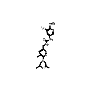 CCOc1ncc(NC(=O)NCc2cc(C)c(N3CC(C)OC(C)C3)nn2)cc1C(F)(F)F